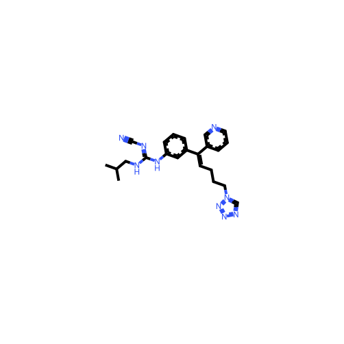 CC(C)CNC(=NC#N)Nc1cccc(C(=CCCCn2cnnn2)c2cccnc2)c1